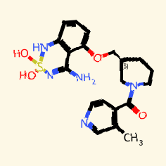 Cc1cnccc1C(=O)N1CCC[C@H](COc2cccc3c2C(N)=NS(O)(O)N3)C1